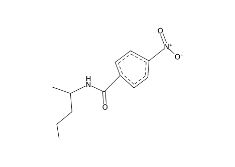 CCCC(C)NC(=O)c1ccc([N+](=O)[O-])cc1